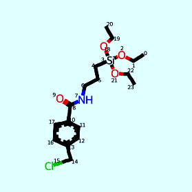 CCO[Si](CCCNC(=O)c1ccc(CCl)cc1)(OCC)OCC